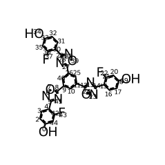 Oc1ccc(-c2noc(-c3cc(-c4nc(-c5ccc(O)cc5F)no4)cc(-c4nc(-c5ccc(O)cc5F)no4)c3)n2)c(F)c1